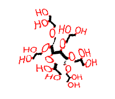 OCC(O)COC[C@H](OCC(O)CO)[C@H](OCC(O)CO)[C@@H](OCC(O)CO)[C@@H](COCC(O)CO)OCC(O)CO